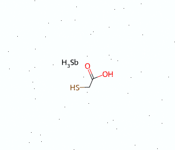 O=C(O)CS.[SbH3]